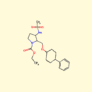 CS(=O)(=O)NC1CCN(C(=O)OCC(F)(F)F)C1COC1CCC(c2ccccc2)CC1